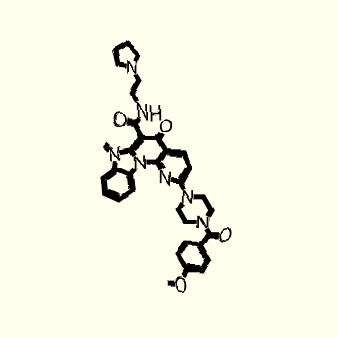 COc1ccc(C(=O)N2CCN(c3ccc4c(=O)c(C(=O)NCCN5CCCC5)c5n(C)c6ccccc6n5c4n3)CC2)cc1